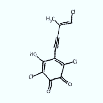 C/C(C#CC1=C(Cl)C(=O)C(=O)C(Cl)=C1O)=C\Cl